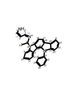 N/C=C\C=N/C(I)n1c2ccccc2c2c3c(ccc21)c1ccccc1n3-c1ccccc1